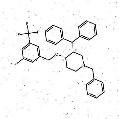 Fc1cc(CO[C@H]2CCN(Cc3ccccc3)C[C@H]2C(c2ccccc2)c2ccccc2)cc(C(F)(F)F)c1